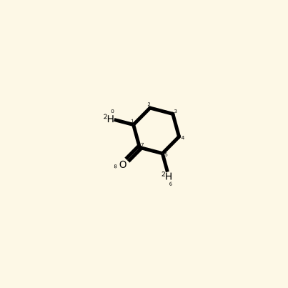 [2H]C1CCCC([2H])C1=O